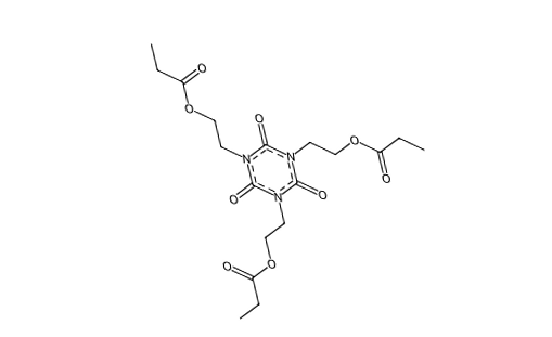 CCC(=O)OCCn1c(=O)n(CCOC(=O)CC)c(=O)n(CCOC(=O)CC)c1=O